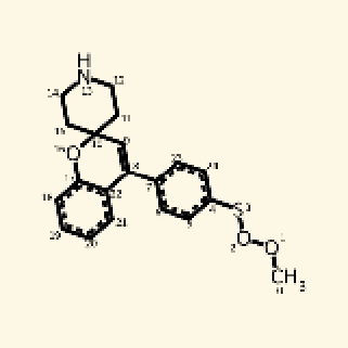 COOSc1ccc(C2=CC3(CCNCC3)Oc3ccccc32)cc1